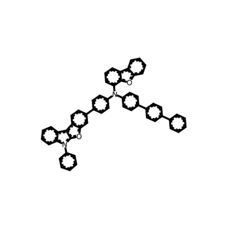 c1ccc(-c2ccc(-c3ccc(N(c4ccc(-c5ccc6c(c5)oc5c6c6ccccc6n5-c5ccccc5)cc4)c4cccc5c4oc4ccccc45)cc3)cc2)cc1